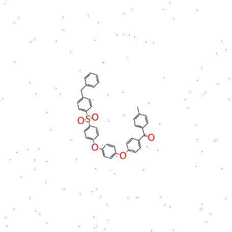 Cc1ccc(C(=O)c2ccc(Oc3ccc(Oc4ccc(S(=O)(=O)c5ccc(Cc6ccccc6)cc5)cc4)cc3)cc2)cc1